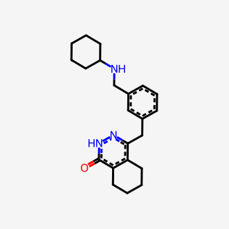 O=c1[nH]nc(Cc2cccc(CNC3CCCCC3)c2)c2c1CCCC2